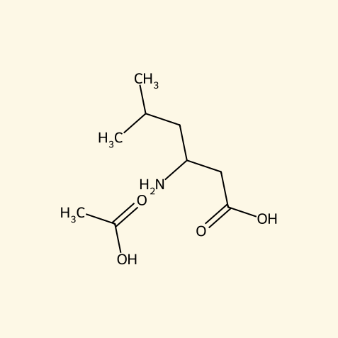 CC(=O)O.CC(C)CC(N)CC(=O)O